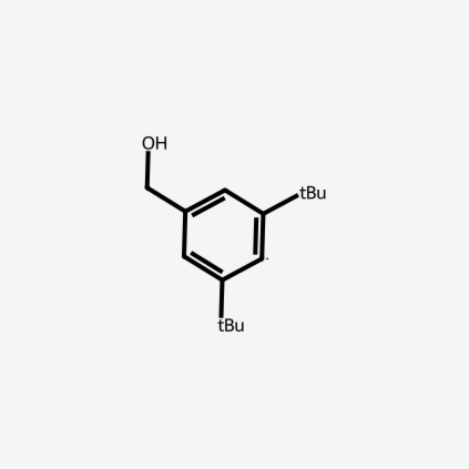 CC(C)(C)c1[c]c(C(C)(C)C)cc(CO)c1